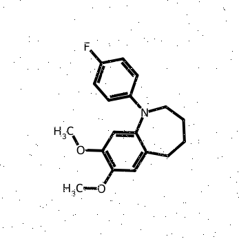 COc1cc2c(cc1OC)N(c1ccc(F)cc1)CCCC2